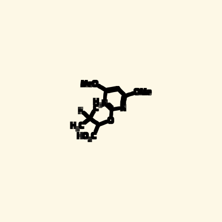 COc1cc(OC)nc(OC(C(=O)O)C(C)(C)F)n1